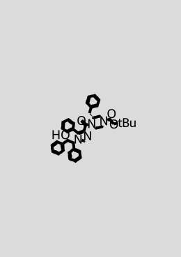 CC(C)(C)OC(=O)N1CCN(C(=O)c2ncn([C@H](c3ccccc3)[C@@H](O)c3ccccc3)c2-c2ccccc2)[C@H](Cc2ccccc2)C1